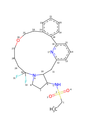 CCS(=O)(=O)NC1CCN2C1Cc1cccc(n1)-c1ccccc1CCOCCCC2(F)F